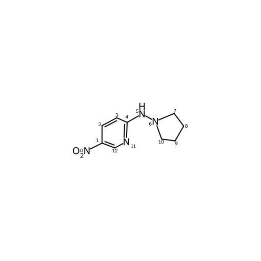 O=[N+]([O-])c1ccc(NN2CCCC2)nc1